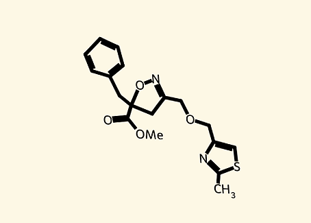 COC(=O)C1(Cc2ccccc2)CC(COCc2csc(C)n2)=NO1